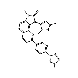 Cc1nn(C)cc1-n1c(=O)n(C)c2cnc3ccc(-c4ccc(-c5nn[nH]n5)nc4)cc3c21